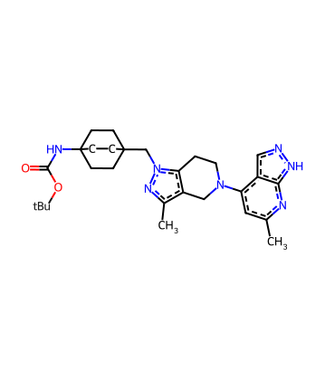 Cc1cc(N2CCc3c(c(C)nn3CC34CCC(NC(=O)OC(C)(C)C)(CC3)CC4)C2)c2cn[nH]c2n1